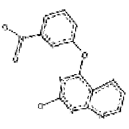 O=[N+]([O-])c1cccc(Oc2nc(Cl)nc3ncccc23)c1